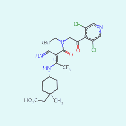 CC(C)(C)CN(CC(=O)c1c(Cl)cncc1Cl)C(=O)/C(C=N)=C(/N[C@H]1CC[C@](C)(CC(=O)O)CC1)C(F)(F)F